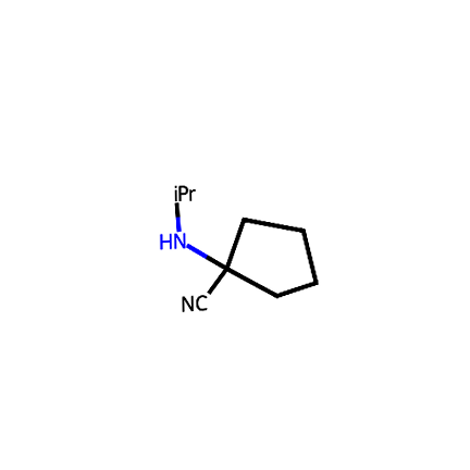 CC(C)NC1(C#N)CCCC1